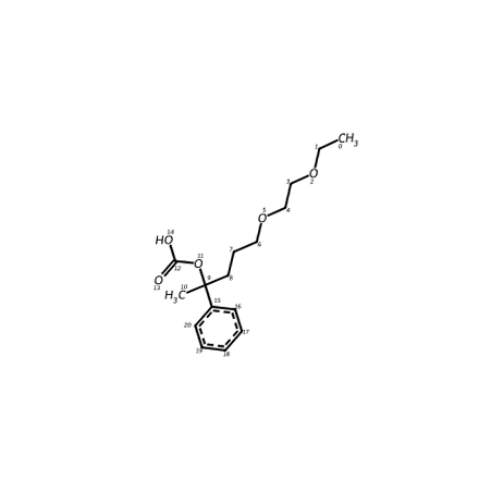 CCOCCOCCCC(C)(OC(=O)O)c1ccccc1